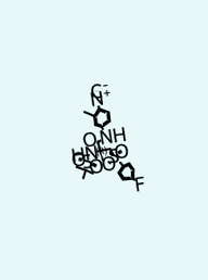 [C-]#[N+]c1ccc(NC(=O)[C@](C)(CS(=O)(=O)c2ccc(F)cc2)NS(=O)(=O)C(C)(C)C)cc1C